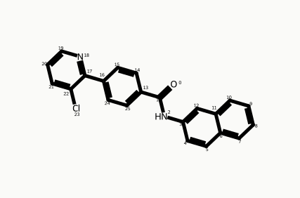 O=C(Nc1ccc2ccccc2c1)c1ccc(-c2ncccc2Cl)cc1